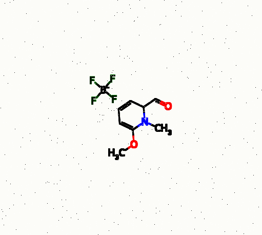 COC1=CC=CC(C=O)N1C.F[B-](F)(F)F